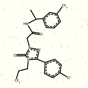 [CH2]C(NC(=O)Cn1nc(-c2ccc(Cl)cc2)n(CCC(F)(F)F)c1=O)c1cccc(C(F)(F)F)c1